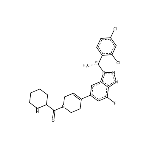 C[C@H](c1ccc(Cl)cc1Cl)n1nnc2c(F)cc(C3=CCN(C(=O)C4CCCCN4)CC3)cc21